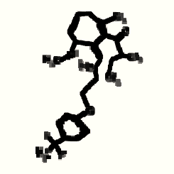 CCC(C)C(=O)C1=C(C)CC=CC(NC)/C1=C\NCCOc1ccc(C(C)(F)F)cc1